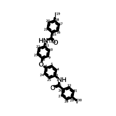 O=C(Nc1ccc(Oc2ccc(NC(=O)c3ccc(I)cc3)cc2)cc1)c1ccc(I)cc1